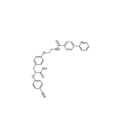 N#Cc1ccc(OC(Cc2ccc(OCCNC(=O)c3ccc(-c4ccccn4)cc3)cc2)C(=O)O)cc1